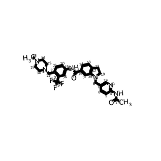 CC(=O)Nc1ccc(CN2CCc3ccc(C(=O)Nc4ccc(CN5CCN(C)CC5)c(C(F)(F)F)c4)cc32)cn1